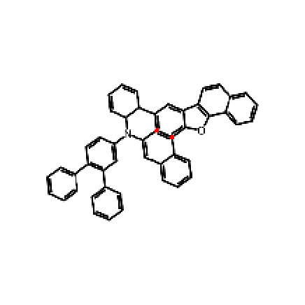 C1=CC(c2ccc3oc4c5ccccc5ccc4c3c2)C(N(c2ccc(-c3ccccc3)c(-c3ccccc3)c2)c2ccc3ccccc3c2)C=C1